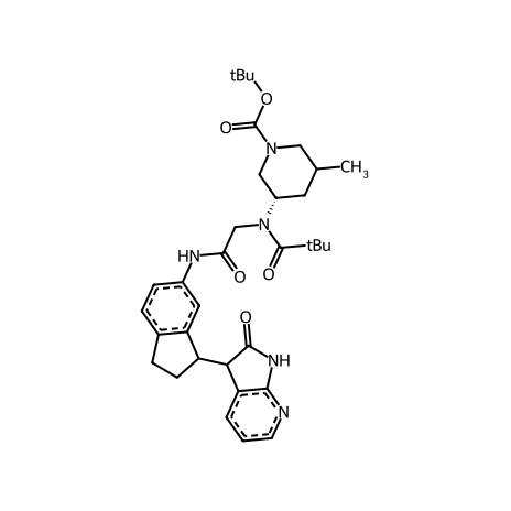 CC1C[C@H](N(CC(=O)Nc2ccc3c(c2)C(C2C(=O)Nc4ncccc42)CC3)C(=O)C(C)(C)C)CN(C(=O)OC(C)(C)C)C1